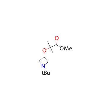 COC(=O)C(C)(C)OC1CN(C(C)(C)C)C1